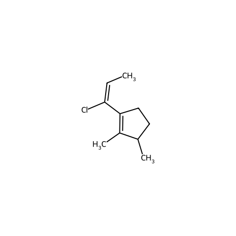 C/C=C(/Cl)C1=C(C)C(C)CC1